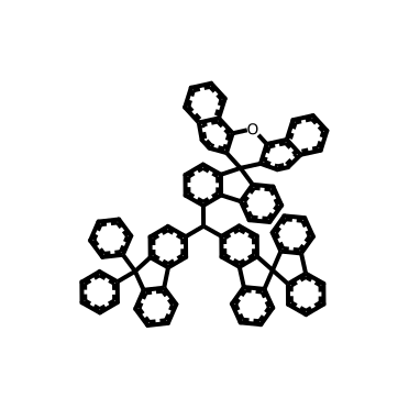 c1ccc(C2(c3ccccc3)c3ccccc3-c3cc(C(c4ccc5c(c4)-c4ccccc4C54c5ccccc5-c5ccccc54)c4cccc5c4-c4ccccc4C54c5ccc6ccccc6c5Oc5c4ccc4ccccc54)ccc32)cc1